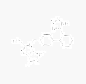 CCCc1nc2c(C)nn(C)c2n1Cc1ccc(-c2ccccc2-c2nnn[nH]2)cc1